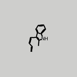 C=C/C=C\c1c(C)[nH]c2ccccc12